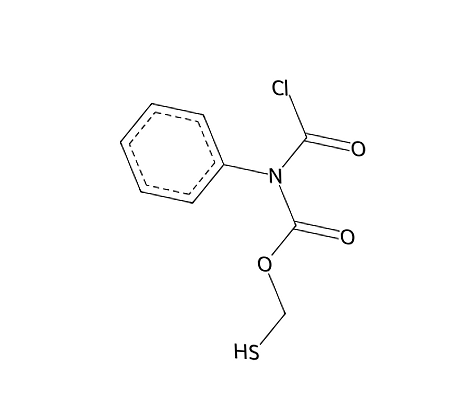 O=C(Cl)N(C(=O)OCS)c1ccccc1